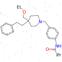 CCOCC1(CCc2ccccc2)CCN(Cc2ccc(NC(=O)C(C)C)cc2)CC1